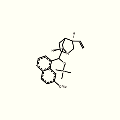 C=C[C@H]1CN2CCC1C[C@H]2C(O[Si](C)(C)C)c1ccnc2ccc(OC)cc12